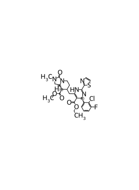 CCOC(=O)C1=C(CC2CCN3C(=O)N(C)C[C@H]3[C@@H]2C(=O)OC)NC(c2nccs2)=N[C@H]1c1cccc(F)c1Cl